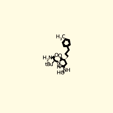 Cc1ccc(CCC[C@H](CC(=O)NO)C(=O)N[C@H](C(N)=O)C(C)(C)C)cc1